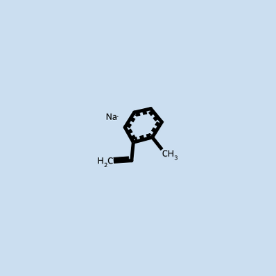 C=Cc1ccccc1C.[Na]